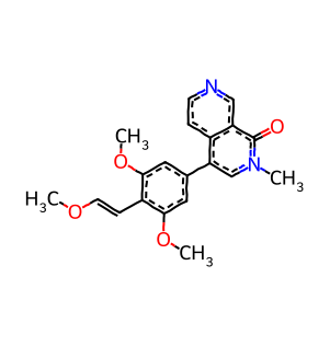 COC=Cc1c(OC)cc(-c2cn(C)c(=O)c3cnccc23)cc1OC